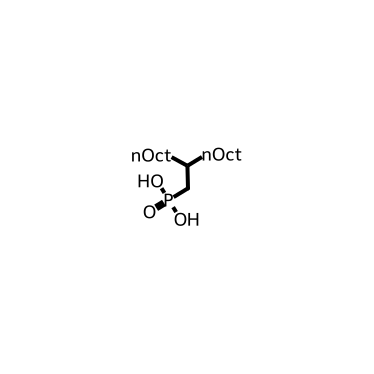 CCCCCCCCC(CCCCCCCC)CP(=O)(O)O